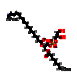 CCCCC/C=C\C/C=C\CCCCCCCCCCCC(=O)O[C@H](COC(=O)CCCCCCCCCCCCCCCC)COP(=O)(O)OC[C@@H](O)CO